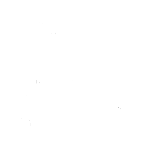 CC(=O)O.NCc1cccc(Cn2cc(-c3nc4cc5[nH]ncc5cc4[nH]c3=O)c3cc4c(cc32)OCO4)c1